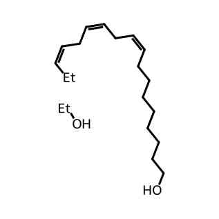 CC/C=C\C/C=C\C/C=C\CCCCCCCCO.CCO